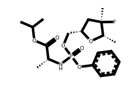 CC(C)OC(=O)[C@@H](C)NP(=O)(OC[C@@H]1C[C@@](C)(F)[C@H](C)O1)Oc1ccccc1